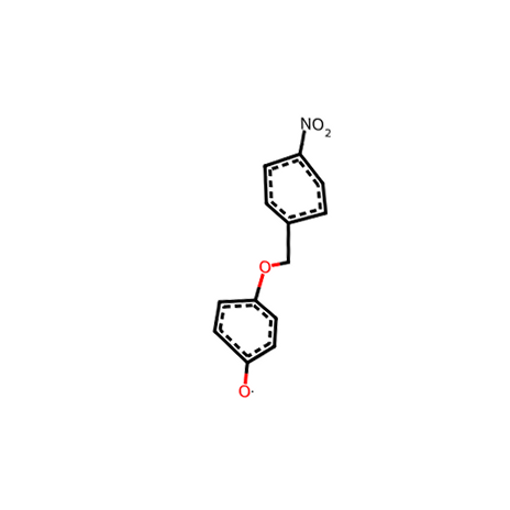 [O]c1ccc(OCc2ccc([N+](=O)[O-])cc2)cc1